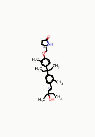 CCC(O)(/C=C/c1ccc(C(CC)(CC)c2ccc(OC[C@H]3CCC(=O)N3)c(C)c2)cc1C)CC